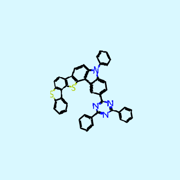 c1ccc(-c2nc(-c3ccccc3)nc(-c3ccc4c(c3)c3c5sc6c(ccc7sc8ccccc8c76)c5ccc3n4-c3ccccc3)n2)cc1